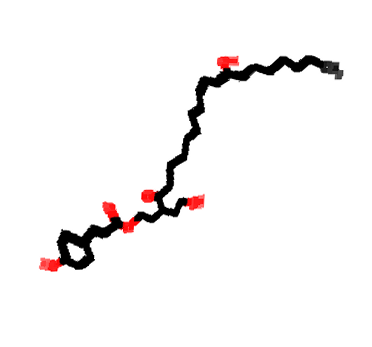 CCCCCCC[C@H](O)C/C=C\CCCCCCCC(=O)C(CCO)CCOC(=O)/C=C/c1ccc(O)cc1